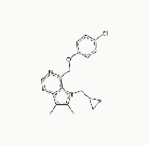 Cc1c(C)n(CC2CC2)c2c(COc3ccc(Cl)cc3)nccc12